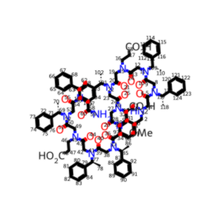 COCCNCC(=O)N(CC(=O)N(CC(=O)N(CCC(=O)O)CC(=O)N(CC(=O)N(CC(=O)N(CCC(=O)O)CC(=O)N(CC(=O)N(CC(=O)N(CCC(=O)O)CC(=O)N(CC(=O)N(CC(N)=O)[C@@H](C)c1ccccc1)[C@@H](C)c1ccccc1)[C@@H](C)c1ccccc1)[C@@H](C)c1ccccc1)[C@@H](C)c1ccccc1)[C@@H](C)c1ccccc1)[C@@H](C)c1ccccc1)[C@@H](C)c1ccccc1